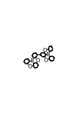 c1ccc2c(c1)Oc1cc(-c3cccc4c3Oc3cccc5c3B4c3ccccc3O5)cc3c1B2c1ccccc1O3